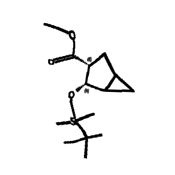 COC(=O)[C@@H]1CC2CC2[C@@H]1O[Si](C)(C)C(C)(C)C